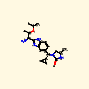 C[C@H](O[C@H](C)[C@H](N)c1nc2cc([C@@H](C3CC3)N3C[C@@H](C(F)(F)F)NC3=O)ccc2[nH]1)C(F)(F)F